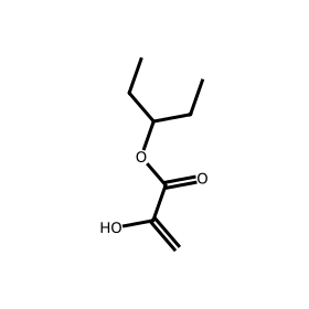 C=C(O)C(=O)OC(CC)CC